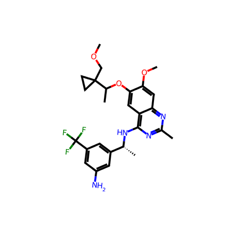 COCC1(C(C)Oc2cc3c(N[C@H](C)c4cc(N)cc(C(F)(F)F)c4)nc(C)nc3cc2OC)CC1